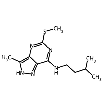 CSc1nc(NCCC(C)C)c2n[nH]c(C)c2n1